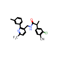 Cc1cccc(-c2nc(C(F)(F)F)ccc2CNC(=O)C(C)c2ccc(C#N)c(Cl)c2)c1